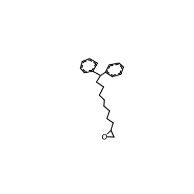 c1ccc(C(CCCCCCCCC2CO2)c2ccccc2)cc1